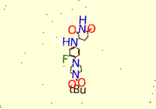 CC(C)(C)OC(=O)N1CCN(c2ccc(N[C@H]3CCC(=O)NC3=O)cc2F)CC1